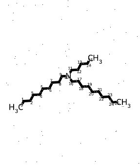 CCCCCCCCCCN(CCCCC)CCCCCCCCCC